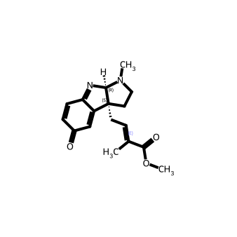 COC(=O)/C(C)=C/C[C@@]12CCN(C)[C@@H]1N=C1C=CC(=O)C=C12